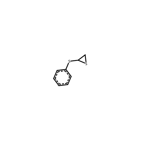 [c]1ccc(SC2CS2)cc1